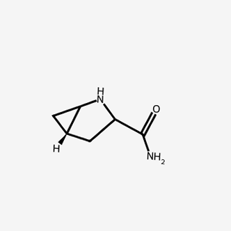 NC(=O)C1C[C@@H]2CC2N1